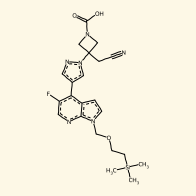 C[Si](C)(C)CCOCn1ccc2c(-c3cnn(C4(CC#N)CN(C(=O)O)C4)c3)c(F)cnc21